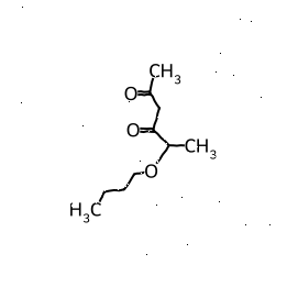 CCCCOC(C)C(=O)CC(C)=O